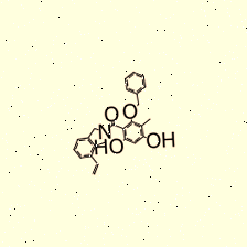 C=Cc1cccc2c1CN(C(=O)c1c(O)cc(O)c(C)c1OCc1ccccc1)C2